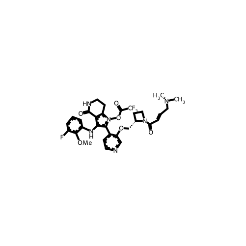 COc1c(F)cccc1Nc1c2c(n(OC(=O)C(F)(F)F)c1-c1ccncc1OC[C@@H]1CCN1C(=O)/C=C/CN(C)C)CCNC2=O